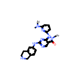 CC(=O)N(C)c1cccc(-n2c3nc(Nc4ccc5c(c4)CCNC5)ncc3c(=O)n2C(C)C)n1